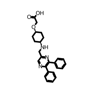 O=C(O)CO[C@H]1CC[C@@H](NCc2cnc(-c3ccccc3)c(-c3ccccc3)n2)CC1